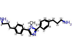 Cn1c(-c2ccc(CCCN)cc2)cnc1-c1ccc(CCCN)cc1